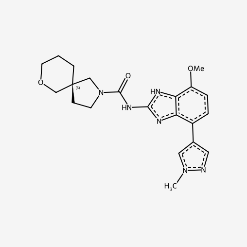 COc1ccc(-c2cnn(C)c2)c2nc(NC(=O)N3CC[C@@]4(CCCOC4)C3)[nH]c12